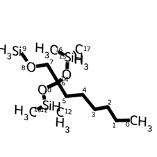 CCCCCCC(CO[SiH3])(O[SiH](C)C)O[SiH](C)C